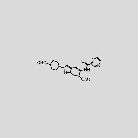 COc1cc2nn(C3CCC(C=O)CC3)cc2cc1NC(=O)c1cnccn1